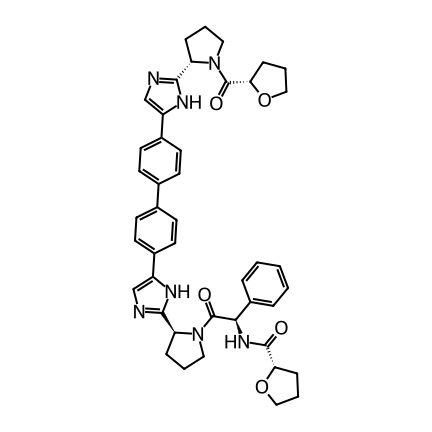 O=C(N[C@@H](C(=O)N1CCC[C@H]1c1ncc(-c2ccc(-c3ccc(-c4cnc([C@@H]5CCCN5C(=O)[C@@H]5CCCO5)[nH]4)cc3)cc2)[nH]1)c1ccccc1)[C@@H]1CCCO1